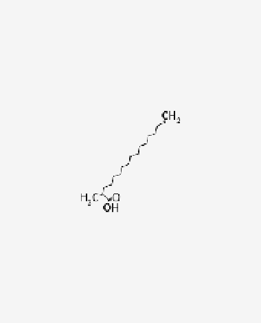 C=CCCCCCCCCCCCCCC(C)C(=O)O